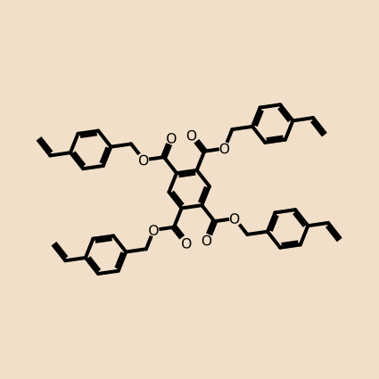 C=Cc1ccc(COC(=O)c2cc(C(=O)OCc3ccc(C=C)cc3)c(C(=O)OCc3ccc(C=C)cc3)cc2C(=O)OCc2ccc(C=C)cc2)cc1